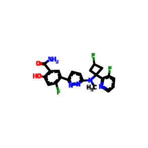 CN(c1ccc(-c2cc(C(N)=O)c(O)cc2F)nn1)C1(c2ncccc2F)CC(F)C1